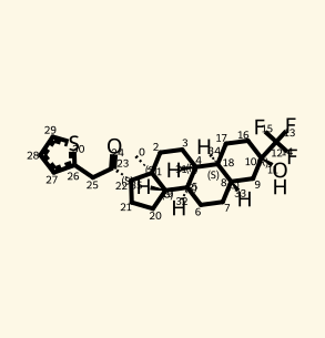 C[C@]12CC[C@H]3[C@@H](CC[C@H]4C[C@@](O)(C(F)(F)F)CC[C@@H]43)[C@@H]1CC[C@@H]2C(=O)Cc1cccs1